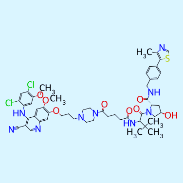 COc1cc(Nc2c(C#N)cnc3cc(OCCCN4CCN(C(=O)CCCC(=O)NC(C(=O)N5C[C@H](O)C[C@H]5C(=O)NCc5ccc(-c6scnc6C)cc5)C(C)(C)C)CC4)c(OC)cc23)c(Cl)cc1Cl